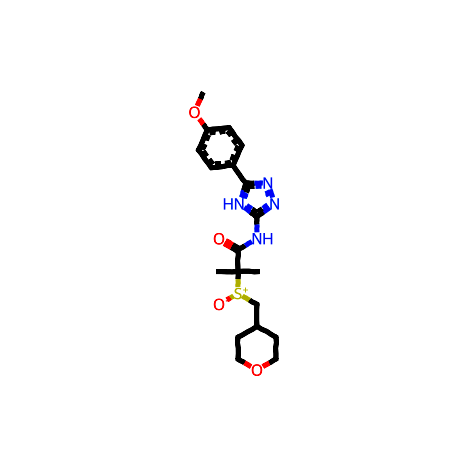 COc1ccc(-c2nnc(NC(=O)C(C)(C)[S+]([O-])CC3CCOCC3)[nH]2)cc1